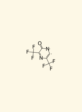 O=C1[N][C]=C(C(F)(F)F)N=C1C(F)(F)F